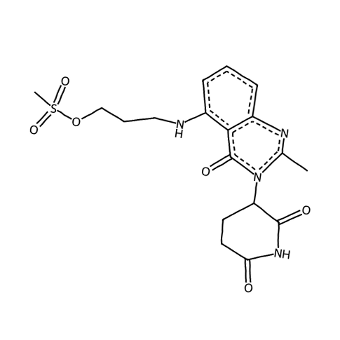 Cc1nc2cccc(NCCCOS(C)(=O)=O)c2c(=O)n1C1CCC(=O)NC1=O